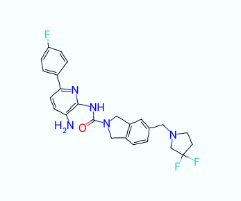 Nc1ccc(-c2ccc(F)cc2)nc1NC(=O)N1Cc2ccc(CN3CCC(F)(F)C3)cc2C1